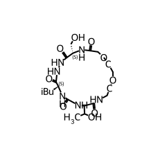 CCC(C)[C@@H]1NC(=O)NC(C(C)O)C(=O)NCCOCCOCC(=O)N[C@@H](CO)C(=O)NNC1=O